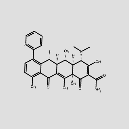 C[C@H]1c2c(-c3cnccn3)ccc(O)c2C(=O)C2=C(O)[C@]3(O)C(=O)C(C(N)=O)=C(O)[C@@H](N(C)C)[C@@H]3[C@@H](O)[C@@H]21